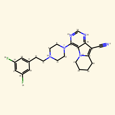 N#Cc1c2n(c3c(N4CCN(CCc5cc(F)cc(F)c5)CC4)ncnc13)CCCC2